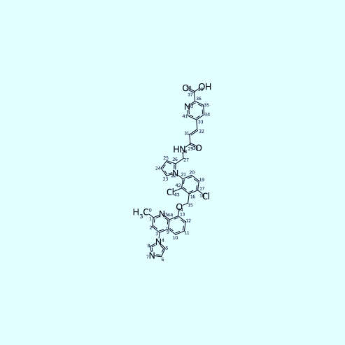 Cc1cc(-n2ccnc2)c2cccc(OCc3c(Cl)ccc(-n4cccc4CNC(=O)C=Cc4ccc(C(=O)O)nc4)c3Cl)c2n1